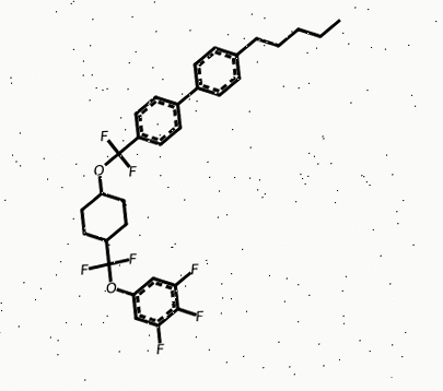 CCCCCc1ccc(-c2ccc(C(F)(F)OC3CCC(C(F)(F)Oc4cc(F)c(F)c(F)c4)CC3)cc2)cc1